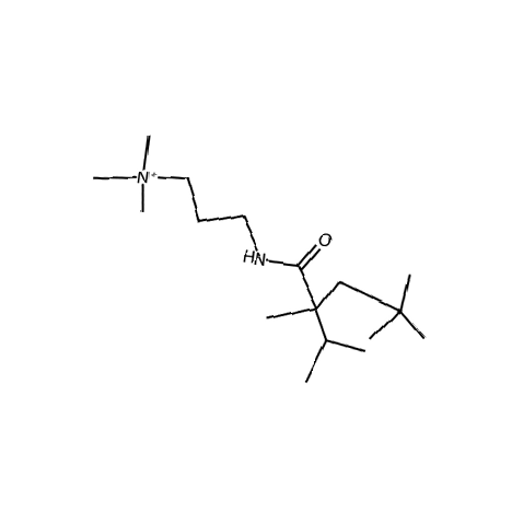 CC(C)C(C)(CC(C)(C)C)C(=O)NCCC[N+](C)(C)C